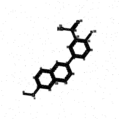 COc1ccc2cc(-c3ccc(F)c(C(=O)O)c3)ccc2c1